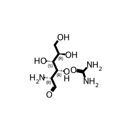 NC(N)=O.N[C@@H](C=O)[C@@H](O)[C@H](O)[C@H](O)CO